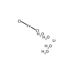 O.O.O.O.[Cl][Fe][Cl].[Li]